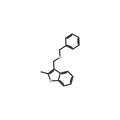 Cc1oc2ccccc2c1COCc1ccccc1